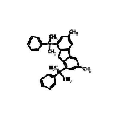 Cc1cc2c(c([Si](C)(C)c3ccccc3)c1)Cc1c-2cc(C)cc1[Si](C)(C)c1ccccc1